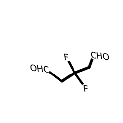 O=CCC(F)(F)CC=O